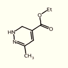 CCOC(=O)C1=CC(C)=NNC1